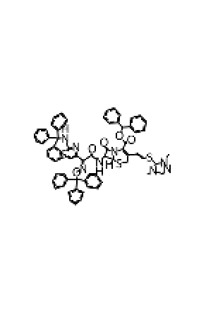 CN1C=NN(C)C1SC=CC1=C(C(=O)OC(c2ccccc2)c2ccccc2)N2C(=O)C(NC(=O)C(=NOC(c3ccccc3)(c3ccccc3)c3ccccc3)c3csc(NC(c4ccccc4)(c4ccccc4)c4ccccc4)n3)[C@@H]2SC1